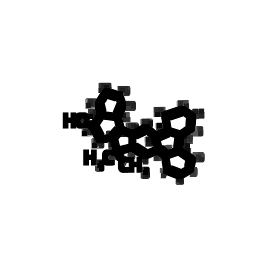 CC1(C)c2cc3c4ccccc4c4ccccc4c3cc2-c2c1cc(O)c1ccccc21